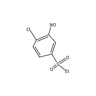 CCS(=O)(=O)c1ccc(Cl)c(N=O)c1